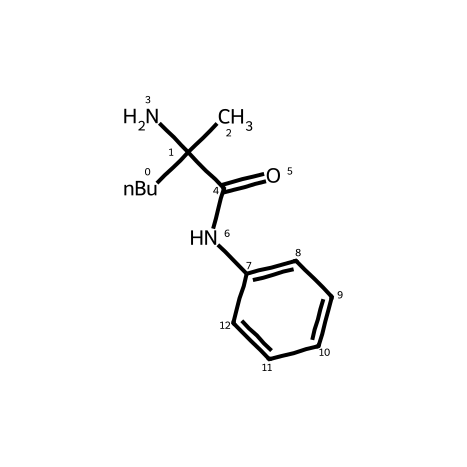 CCCCC(C)(N)C(=O)Nc1ccccc1